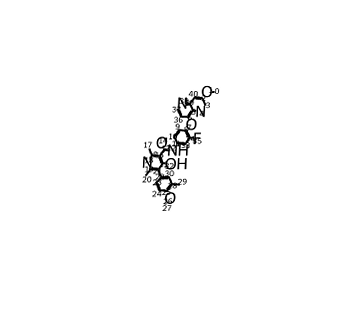 COc1cnc2c(Oc3ccc(NC(=O)c4c(C)nc(C)c(-c5ccc(OC)c(C)c5)c4O)cc3F)ccnc2c1